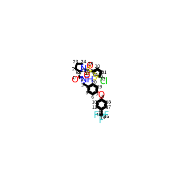 O=C(NCc1ccc(Oc2ccc(C(F)(F)F)cc2)cc1)[C@@H]1CCCN1S(=O)(=O)c1ccc(Cl)s1